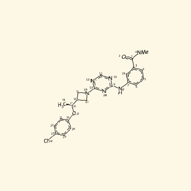 CNC(=O)c1cccc(Nc2ncnc(N3CC([C@H](C)Oc4ccc(Cl)cc4)C3)n2)c1